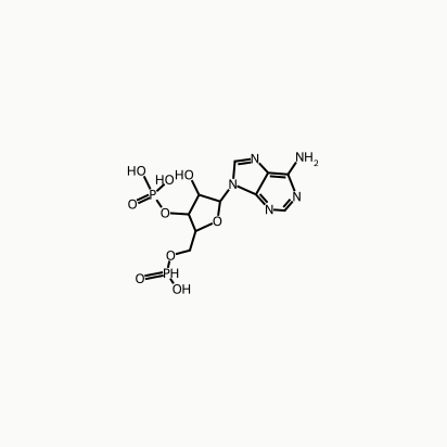 Nc1ncnc2c1ncn2C1OC(CO[PH](=O)O)C(OP(=O)(O)O)C1O